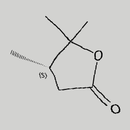 C[C@H]1CC(=O)OC1(C)C